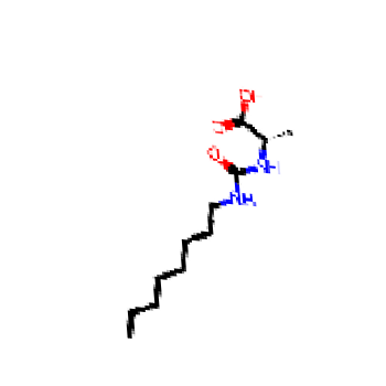 CCCCCCCCNC(=O)N[C@@H](C)C(=O)O